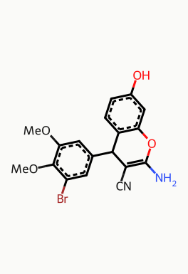 COc1cc(C2C(C#N)=C(N)Oc3cc(O)ccc32)cc(Br)c1OC